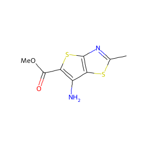 COC(=O)c1sc2nc(C)sc2c1N